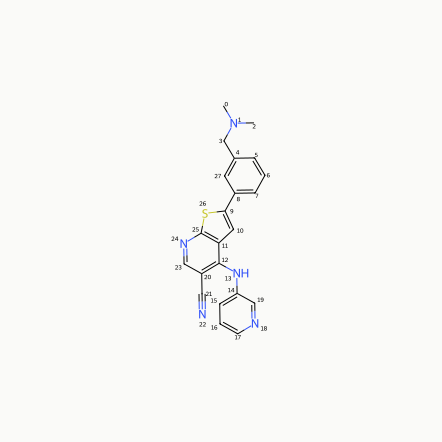 CN(C)Cc1cccc(-c2cc3c(Nc4cccnc4)c(C#N)cnc3s2)c1